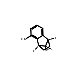 CC(C)[C@@H]1[C@@H]2CC[C@H]1c1cccc(N)c12